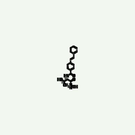 C[C@@H](O)[C@H](NC(=O)c1ccc(C=Cc2ccccc2)cc1)C(=O)NO